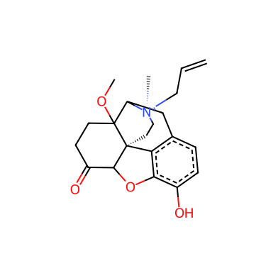 C=CC[N@@+]1(C)CC[C@]23c4c5ccc(O)c4OC2C(=O)CCC3(OC)C1C5